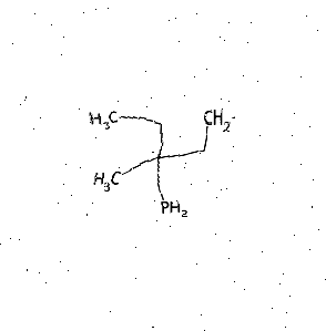 [CH2]CC(C)(P)CC